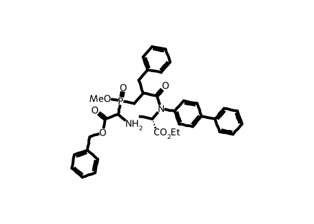 CCOC(=O)[C@H](C)N(C(=O)C(Cc1ccccc1)CP(=O)(OC)C(N)C(=O)OCc1ccccc1)c1ccc(-c2ccccc2)cc1